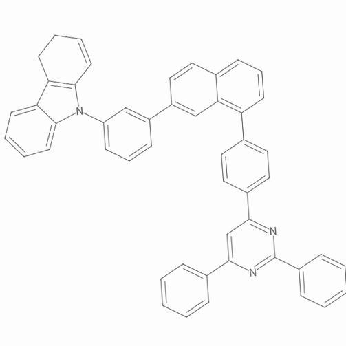 C1=Cc2c(c3ccccc3n2-c2cccc(-c3ccc4cccc(-c5ccc(-c6cc(-c7ccccc7)nc(-c7ccccc7)n6)cc5)c4c3)c2)CC1